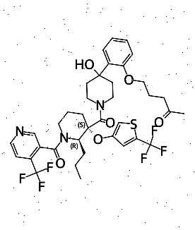 CCC[C@H]1N(C(=O)c2cnccc2C(F)(F)F)CCC[C@@]1(Oc1csc(C(F)(F)F)c1)C(=O)N1CCC(O)(c2ccccc2OCCCC(C)=O)CC1